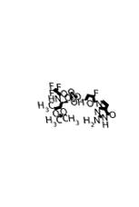 C[C@H]1OC(C)(C)O[C@H]1[C@H](COP(=O)(O)OC[C@@H]1C[C@H](F)[C@H](n2ccc3c(=O)[nH]c(N)nc32)O1)NC(=O)C(F)(F)F